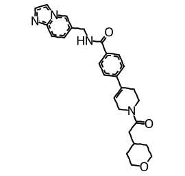 O=C(NCc1ccc2nccn2c1)c1ccc(C2=CCN(C(=O)CC3CCOCC3)CC2)cc1